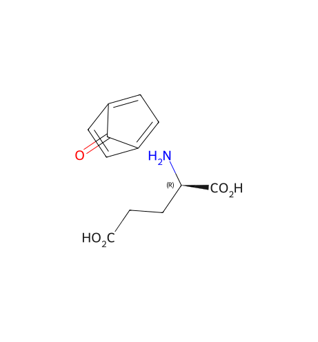 N[C@H](CCC(=O)O)C(=O)O.O=C1C2=CC=C1C=C2